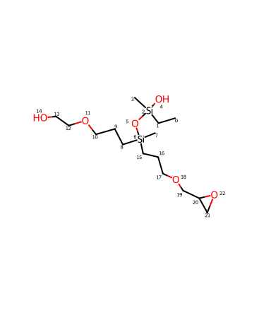 CC[Si](C)(O)O[Si](C)(CCCOCCO)CCCOCC1CO1